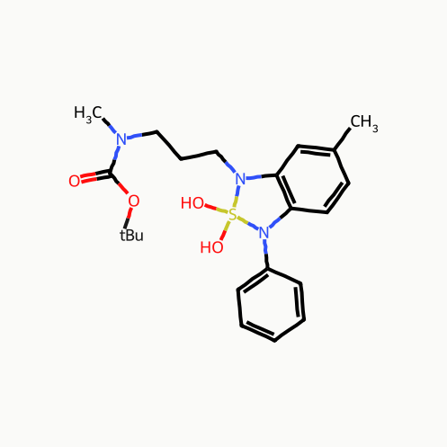 Cc1ccc2c(c1)N(CCCN(C)C(=O)OC(C)(C)C)S(O)(O)N2c1ccccc1